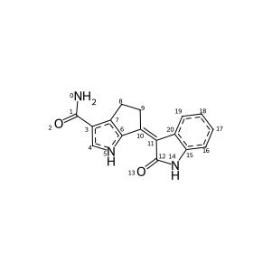 NC(=O)c1c[nH]c2c1CCC2=C1C(=O)Nc2ccccc21